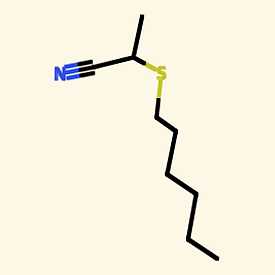 CCCCCCSC(C)C#N